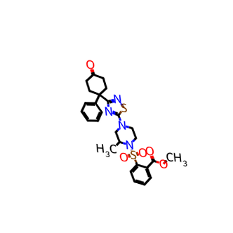 COC(=O)c1ccccc1S(=O)(=O)N1CCN(c2nc(C3(c4ccccc4)CCC(=O)CC3)ns2)CC1C